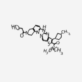 CC1CCC(c2c(C(=O)N(C)C)sc3cnc(Nc4ccc5c(n4)CCN(C(=O)CO)C5)nc23)CC1